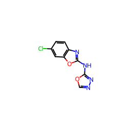 Clc1ccc2nc(Nc3nnco3)oc2c1